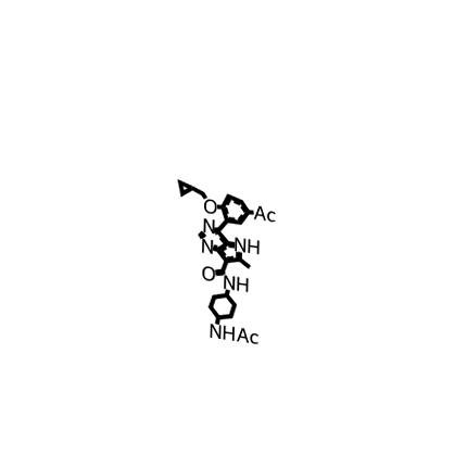 CC(=O)NC1CCC(NC(=O)c2c(C)[nH]c3c(-c4cc(C(C)=O)ccc4OCC4CC4)ncnc23)CC1